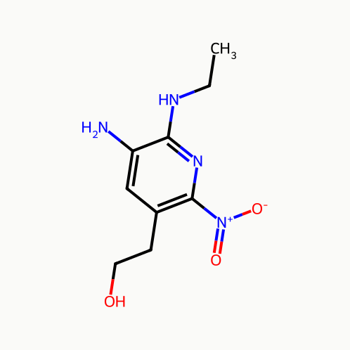 CCNc1nc([N+](=O)[O-])c(CCO)cc1N